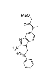 COCC(=O)N(C)c1ccc2c(c1)nc(N)n2C[C@H](O)c1ccccc1